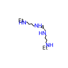 CCNCCCCNC[C@@H]1C[C@H]1CNCCCCNCC